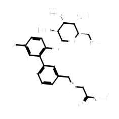 Cc1ccc(O[C@H]2O[C@H](CO)[C@@H](O)[C@H](O)[C@@H]2O)c(-c2cccc(COCC(=O)O)c2)c1